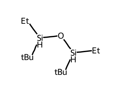 CC[SiH](O[SiH](CC)C(C)(C)C)C(C)(C)C